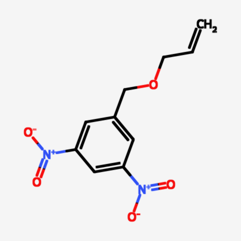 C=CCOCc1cc([N+](=O)[O-])cc([N+](=O)[O-])c1